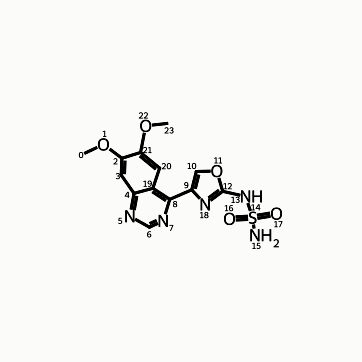 COc1cc2ncnc(-c3coc(NS(N)(=O)=O)n3)c2cc1OC